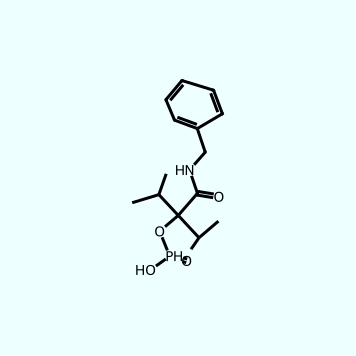 CC(C)C(O[PH](=O)O)(C(=O)NCc1ccccc1)C(C)C